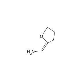 N/C=C1/CCCO1